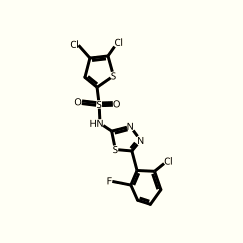 O=S(=O)(Nc1nnc(-c2c(F)cccc2Cl)s1)c1cc(Cl)c(Cl)s1